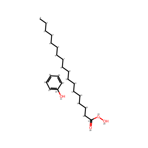 CCCCCCCCCCCCCCCCCC(=O)OO.Oc1ccccc1